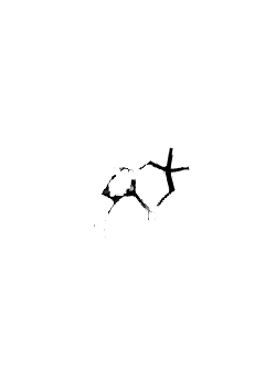 CC1(C)CNc2c(N)cnn2C1